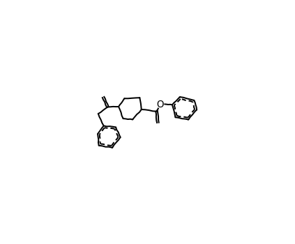 C=C(Cc1ccccc1)C1CCC(C(=C)Oc2ccccc2)CC1